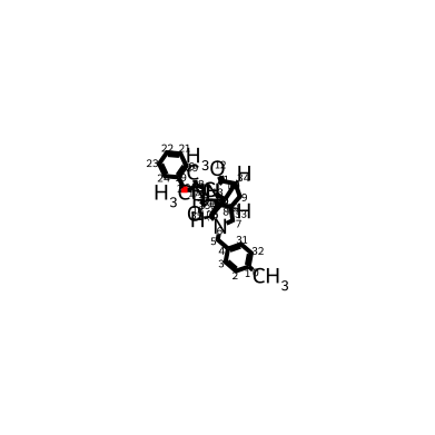 Cc1ccc(CN2C[C@@H]3C[C@H]4C(=O)N[C@]3(C(=O)NCc3ccccc3)[C@@H]2[C@@H]4CC(C)C)cc1